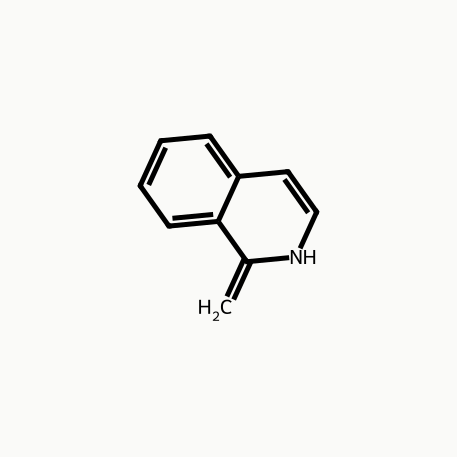 C=C1NC=Cc2ccccc21